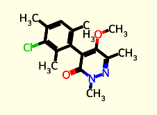 COc1c(C)nn(C)c(=O)c1-c1c(C)cc(C)c(Cl)c1C